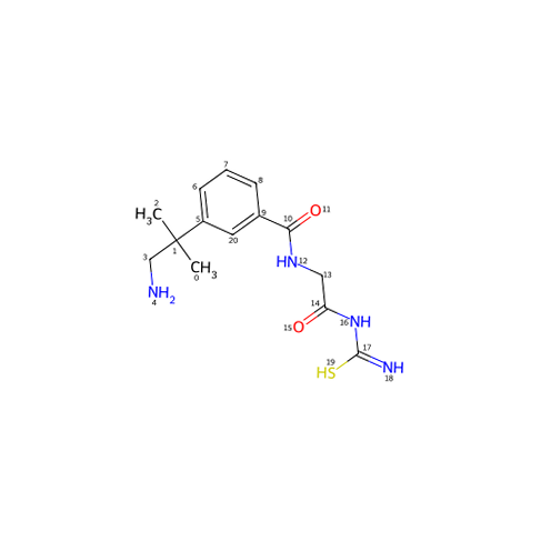 CC(C)(CN)c1cccc(C(=O)NCC(=O)NC(=N)S)c1